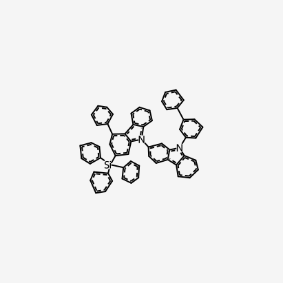 c1ccc(-c2cccc(-n3c4ccccc4c4ccc(-n5c6ccccc6c6c(-c7ccccc7)cc([Si](c7ccccc7)(c7ccccc7)c7ccccc7)cc65)cc43)c2)cc1